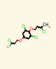 CC(Cl)=CCOc1c(Cl)cc(OCC=C(Cl)Cl)cc1Cl